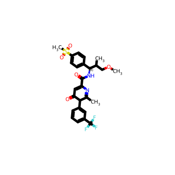 COCC(C)[C@@H](NC(=O)C1=CC(=O)C(c2cccc(C(F)(F)F)c2)C(C)=N1)c1ccc(S(C)(=O)=O)cc1